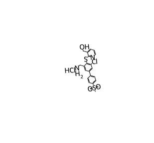 CS(=O)(=O)c1ccc(-c2cc(Cl)c(Sc3ncccc3CO)c(CN)c2)cc1.Cl